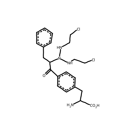 NC(Cc1ccc(C(=O)C(Cc2ccccc2)N(NCCCl)NCCCl)cc1)C(=O)O